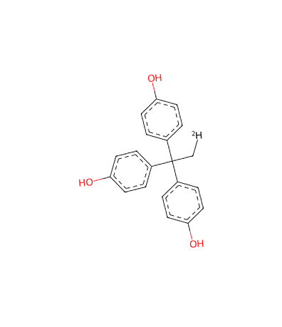 [2H]CC(c1ccc(O)cc1)(c1ccc(O)cc1)c1ccc(O)cc1